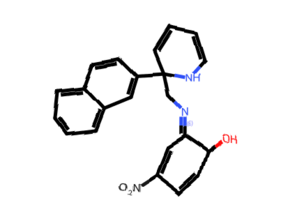 O=[N+]([O-])C1=C/C(=N\CC2(c3ccc4ccccc4c3)C=CC=CN2)C(O)C=C1